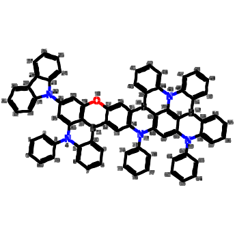 c1ccc(N2c3ccccc3B3c4cc5c(cc4Oc4cc(-n6c7ccccc7c7ccccc76)cc2c43)B2c3ccccc3N3c4ccccc4B4c6ccccc6N(c6ccccc6)c6cc(c2c3c64)N5c2ccccc2)cc1